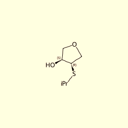 CC(C)S[C@@H]1COC[C@@H]1O